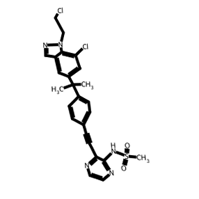 CC(C)(c1ccc(C#Cc2nccnc2NS(C)(=O)=O)cc1)c1cc(Cl)c2c(cnn2CCCl)c1